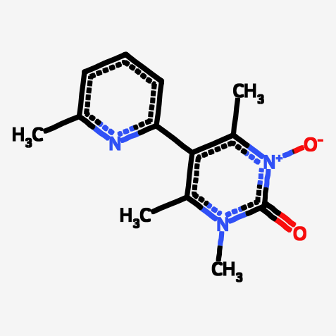 Cc1cccc(-c2c(C)n(C)c(=O)[n+]([O-])c2C)n1